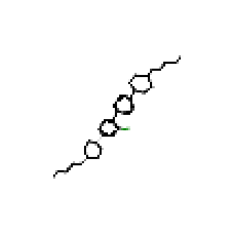 CCCCCC1CCC(c2ccc(-c3ccc([C@H]4CC[C@H](CCCCC)CC4)cc3F)cc2)CC1